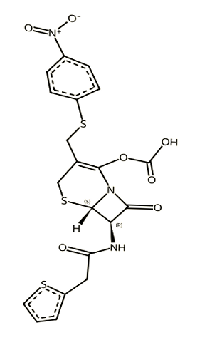 O=C(Cc1cccs1)N[C@@H]1C(=O)N2C(OC(=O)O)=C(CSc3ccc([N+](=O)[O-])cc3)CS[C@@H]12